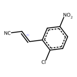 N#C/C=C/c1cc([N+](=O)[O-])ccc1Cl